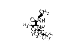 C=CCNC(=O)C(NC(=O)OC(C)(C)C)C(C)C